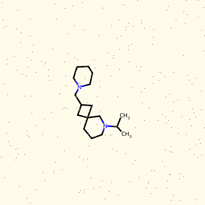 CC(C)N1CCCC2(CC(CN3CCCCC3)C2)C1